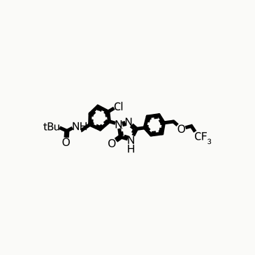 CC(C)(C)C(=O)NCc1ccc(Cl)c(-n2nc(-c3ccc(COCC(F)(F)F)cc3)[nH]c2=O)c1